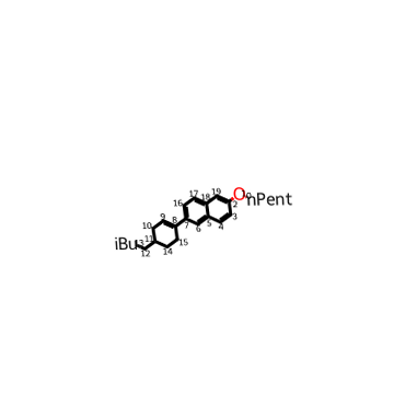 CCCCCOc1ccc2cc(C3=CCC(CC(C)CC)CC3)ccc2c1